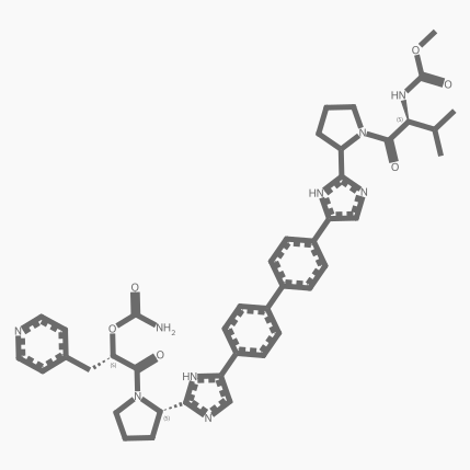 COC(=O)N[C@H](C(=O)N1CCCC1c1ncc(-c2ccc(-c3ccc(-c4cnc([C@@H]5CCCN5C(=O)[C@H](Cc5ccncc5)OC(N)=O)[nH]4)cc3)cc2)[nH]1)C(C)C